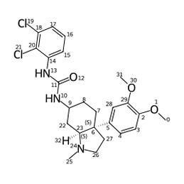 COc1ccc([C@@]23CCC(NC(=O)Nc4cccc(Cl)c4Cl)C[C@@H]2N(C)CC3)cc1OC